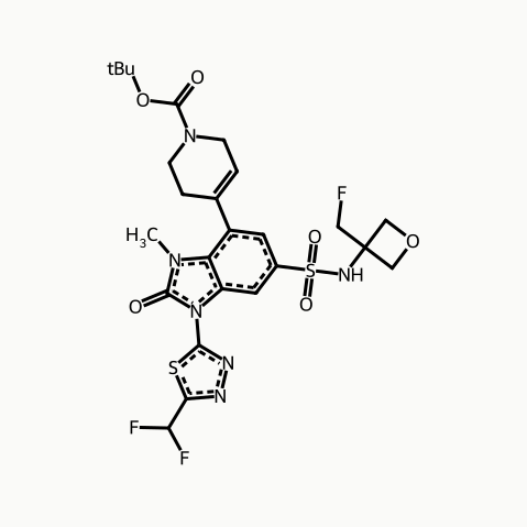 Cn1c(=O)n(-c2nnc(C(F)F)s2)c2cc(S(=O)(=O)NC3(CF)COC3)cc(C3=CCN(C(=O)OC(C)(C)C)CC3)c21